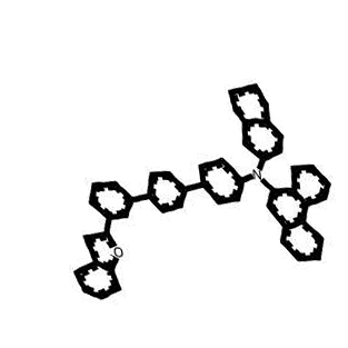 c1cc(-c2ccc(-c3ccc(N(c4ccc5ccccc5c4)c4cc5ccccc5c5ccccc45)cc3)cc2)cc(-c2cc3ccccc3o2)c1